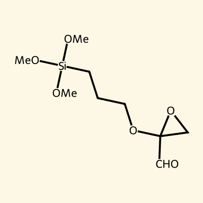 CO[Si](CCCOC1(C=O)CO1)(OC)OC